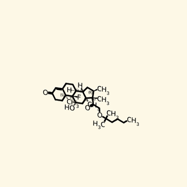 CCCCC(C)(C)OCC(=O)[C@@]1(C)[C@H](C)C[C@H]2[C@@H]3CCC4=CC(=O)CC[C@]4(C)[C@@]3(F)[C@@H](O)C[C@@]21C